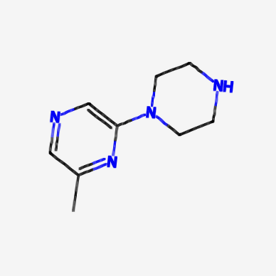 Cc1cncc(N2CCNCC2)n1